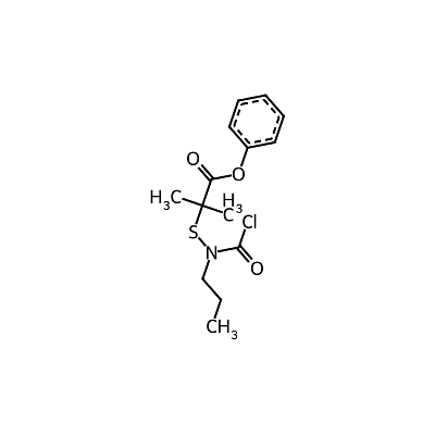 CCCN(SC(C)(C)C(=O)Oc1ccccc1)C(=O)Cl